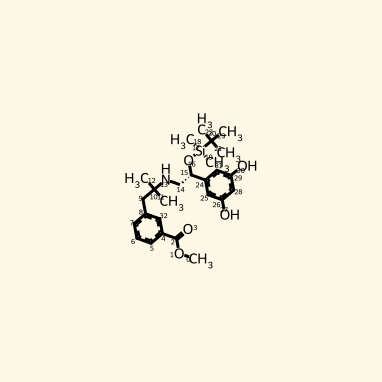 COC(=O)c1cccc(CC(C)(C)NC[C@H](O[Si](C)(C)C(C)(C)C)c2cc(O)cc(O)c2)c1